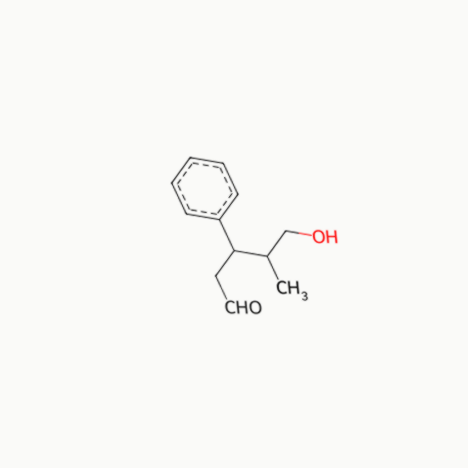 CC(CO)C(CC=O)c1ccccc1